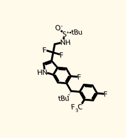 CC(C)(C)[C@H](c1cc2[nH]cc(C(F)(F)CN[S@@+]([O-])C(C)(C)C)c2cc1F)c1ccc(F)cc1C(F)(F)F